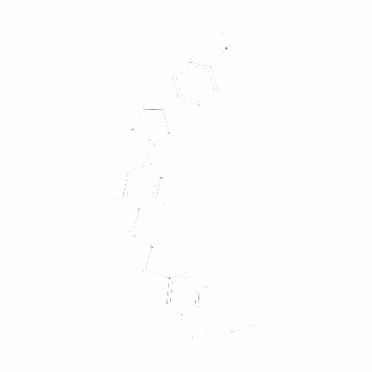 CCS(=O)(=O)c1ccc(CC(=O)Nc2ccc(N3CCC(c4ccc(C(F)(F)F)cc4)C3)cc2)cc1